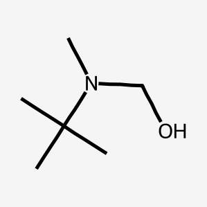 CN(CO)C(C)(C)C